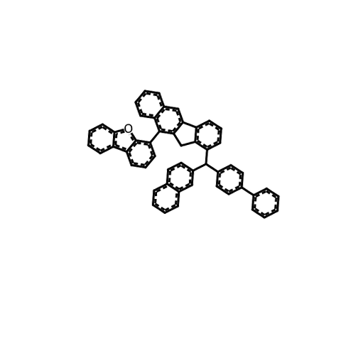 c1ccc(-c2ccc(C(c3ccc4ccccc4c3)c3cccc4c3Cc3c-4cc4ccccc4c3-c3cccc4c3oc3ccccc34)cc2)cc1